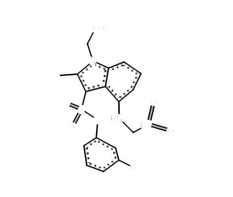 Cc1c(S(=O)(=O)Oc2cccc(Cl)c2)c2c(NC[SH](=O)=O)cccc2n1CC(=O)O